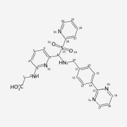 O=C(O)CNc1cccc(C(NCc2ccc(-c3ncccn3)cc2)S(=O)(=O)c2ccccn2)n1